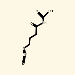 [N-]=[N+]=NCCCC(=O)NC(=O)O